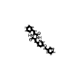 O=c1[nH]/c(=C\c2ccc(OCc3cccnc3)cn2)c(=O)[nH]/c1=C\c1ccccc1